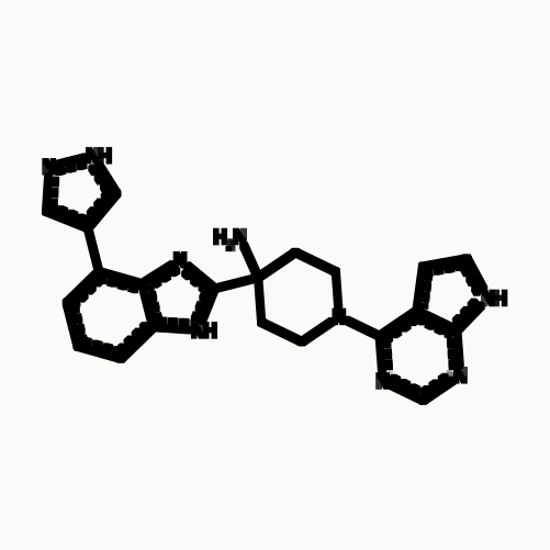 NC1(c2nc3c(-c4cn[nH]c4)cccc3[nH]2)CCN(c2ncnc3[nH]ccc23)CC1